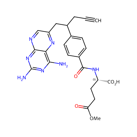 C#CCC(Cc1cnc2nc(N)nc(N)c2n1)c1ccc(C(=O)N[C@@H](CCC(=O)OC)C(=O)O)cc1